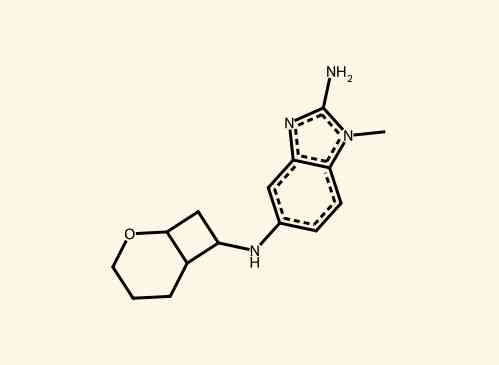 Cn1c(N)nc2cc(NC3CC4OCCCC34)ccc21